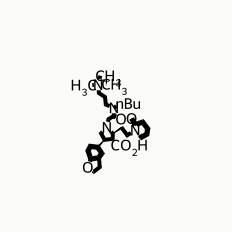 CCCCN(CCC[N+](C)(C)C)C(=O)CN1C[C@H](c2ccc3c(c2)CCO3)[C@@H](C(=O)O)[C@@H]1CCn1ccccc1=O